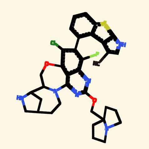 N#Cc1c[nH]c2sc3cccc(-c4c(Cl)c5c6c(nc(OCC78CCCN7CCC8)nc6c4F)N4CCC6CNC(C6)C4CO5)c3c12